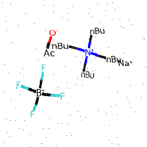 CC(=O)[O-].CCCC[N+](CCCC)(CCCC)CCCC.F[B-](F)(F)F.[Na+]